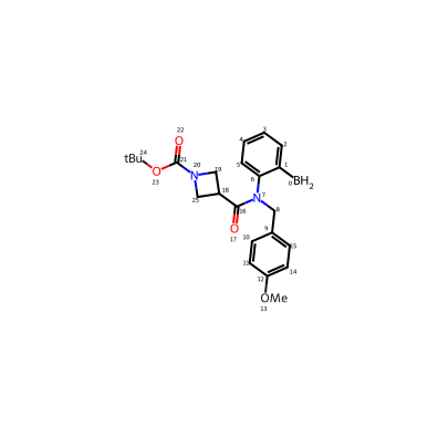 Bc1ccccc1N(Cc1ccc(OC)cc1)C(=O)C1CN(C(=O)OC(C)(C)C)C1